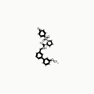 O=C(NCc1cccc(-c2cccc(OC(F)(F)F)c2)c1)[C@@H]1CCCN1S(=O)(=O)c1ccc(F)cc1